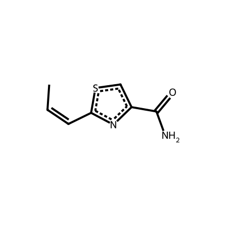 C/C=C\c1nc(C(N)=O)cs1